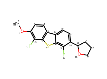 CCCOc1ccc2c(sc3c(F)c(C4CCCO4)ccc32)c1F